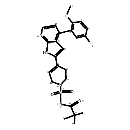 COc1ccc(F)cc1-c1ccnc2[nH]c(C3=CCN(S(=O)(=O)NC(=O)C(C)(C)C)CC3)cc12